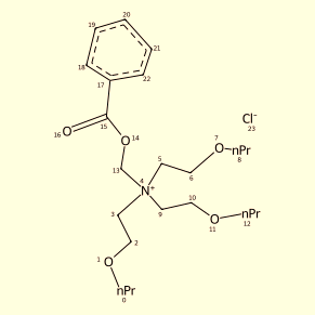 CCCOCC[N+](CCOCCC)(CCOCCC)COC(=O)c1ccccc1.[Cl-]